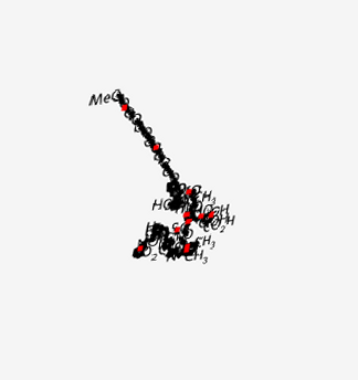 COCCOCCOCCOCCOCCOCCOCCOCCOCCOCCOCCOc1ccc(C[C@@H](C(=O)N[C@H](C(=O)N[C@@H](C)C(=O)Nc2ccc(COC(=O)N(CCOC34CC5(C)CC(C)(CC(Cn6ncc(-c7ccc(N8CCc9cccc(C(=O)Nc%10nc%11ccccc%11s%10)c9C8)nc7C(=O)O)c6C)(C5)C3)C4)CCS(=O)(=O)O)c(CC[C@@H]3O[C@H](C(=O)O)[C@@H](O)[C@H](O)[C@H]3O)c2)C(C)C)N2C(=O)C=CC2O)cc1